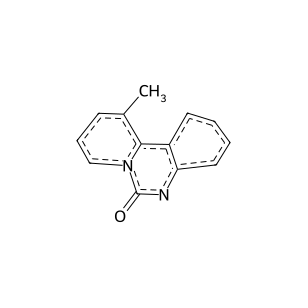 Cc1cccn2c(=O)nc3ccccc3c12